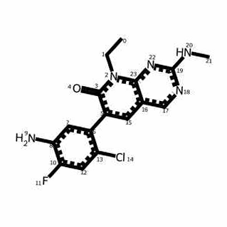 CCn1c(=O)c(-c2cc(N)c(F)cc2Cl)cc2cnc(NC)nc21